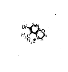 Cc1c(Br)cnc2c1N(C)CCO2